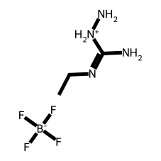 CCN=C(N)[NH2+]N.F[B-](F)(F)F